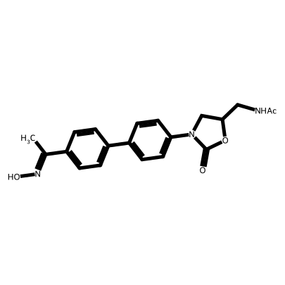 CC(=O)NCC1CN(c2ccc(-c3ccc(C(C)=NO)cc3)cc2)C(=O)O1